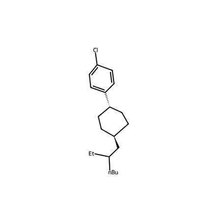 CCCCC(CC)C[C@H]1CC[C@H](c2ccc(Cl)cc2)CC1